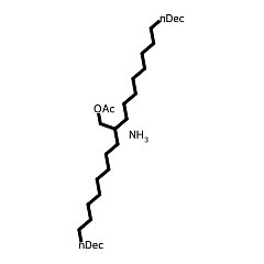 CCCCCCCCCCCCCCCCCCC(CCCCCCCCCCCCCCCCCC)COC(C)=O.N